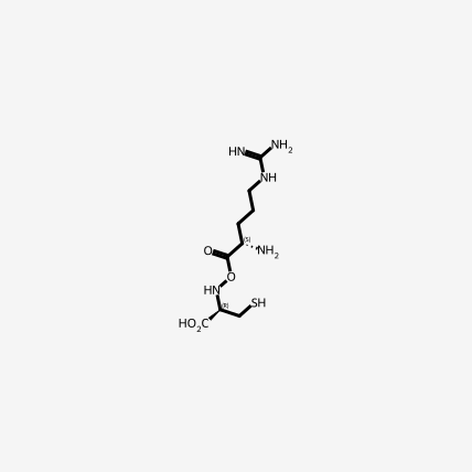 N=C(N)NCCC[C@H](N)C(=O)ON[C@@H](CS)C(=O)O